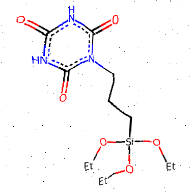 CCO[Si](CCCn1c(=O)[nH]c(=O)[nH]c1=O)(OCC)OCC